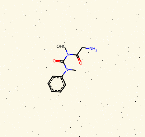 CN(C(=O)N([C]=O)C(=O)CN)c1ccccc1